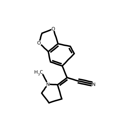 CN1CCCC1=C(C#N)c1ccc2c(c1)OCO2